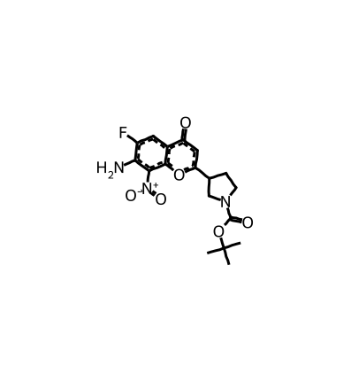 CC(C)(C)OC(=O)N1CCC(c2cc(=O)c3cc(F)c(N)c([N+](=O)[O-])c3o2)C1